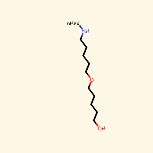 CCCCCCNCCCCCOCCCCCO